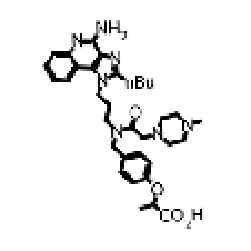 CCCCc1nc2c(N)nc3ccccc3c2n1CCCN(Cc1ccc(OC(C)C(=O)O)cc1)C(=O)CN1CCN(C)CC1